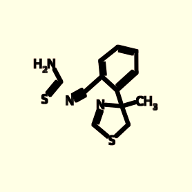 CC1(c2ccccc2C#N)CSC=N1.NC=S